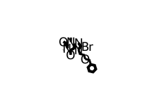 Cn1c(=O)c2c(nc(Br)n2CCOCc2ccccc2)n(C)c1=O